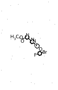 CCOC(=O)c1cncc(-c2ccc(N3CCC(Oc4cc(F)ccc4Br)CC3)nn2)c1